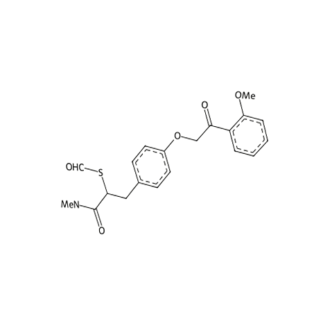 CNC(=O)C(Cc1ccc(OCC(=O)c2ccccc2OC)cc1)SC=O